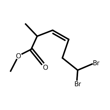 COC(=O)C(C)/C=C\CC(Br)Br